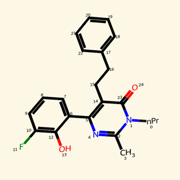 CCCn1c(C)nc(-c2cccc(F)c2O)c(CCc2ccccc2)c1=O